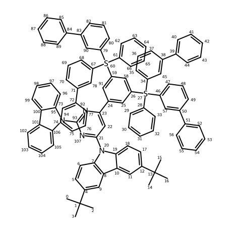 CC(C)(C)c1ccc2c(c1)c1cc(C(C)(C)C)ccc1n2-c1cc(-c2cc(S(c3ccccc3)(c3cccc(-c4ccccc4)c3)c3cccc(-c4ccccc4)c3)cc(S(c3ccccc3)(c3cccc(-c4ccccc4)c3)c3cccc(-c4ccccc4)c3)c2)nc(-n2c3ccccc3c3ccccc32)n1